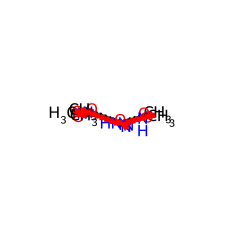 CC(C)OC(=O)NCCCCCc1cn(CC(=O)NCCCCCCCCCCC(=O)N2CCN(C(=O)OC(C)(C)C)CC2)nn1